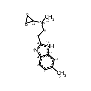 Cc1ccc2nc(CCN(C)C3CC3)[nH]c2c1